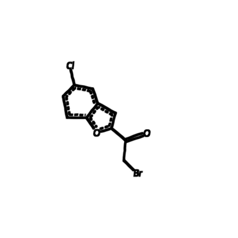 O=C(CBr)c1cc2cc(Cl)ccc2o1